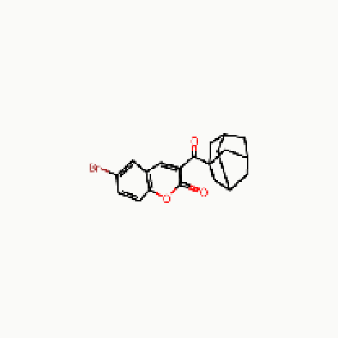 O=C(c1cc2cc(Br)ccc2oc1=O)C12CC3CC(CC(C3)C1)C2